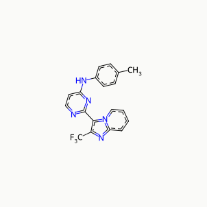 Cc1ccc(Nc2ccnc(-c3c(C(F)(F)F)nc4ccccn34)n2)cc1